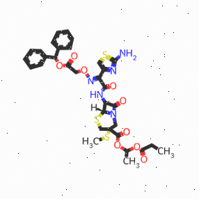 CCC(=O)OC(C)OC(=O)C1(SC)CS[C@@H]2C(NC(=O)C(=NOCC(=O)OC(c3ccccc3)c3ccccc3)c3csc(N)n3)C(=O)N2C1